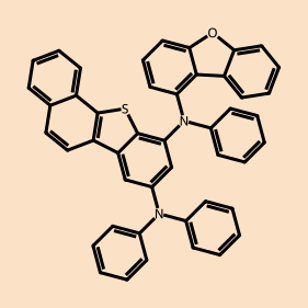 c1ccc(N(c2ccccc2)c2cc(N(c3ccccc3)c3cccc4oc5ccccc5c34)c3sc4c5ccccc5ccc4c3c2)cc1